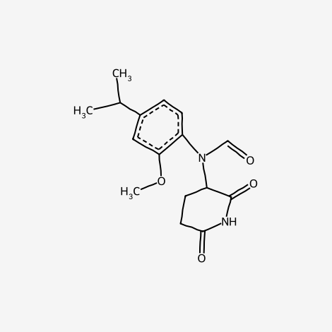 COc1cc(C(C)C)ccc1N(C=O)C1CCC(=O)NC1=O